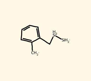 [CH2]c1ccccc1C[SiH2][SiH2]